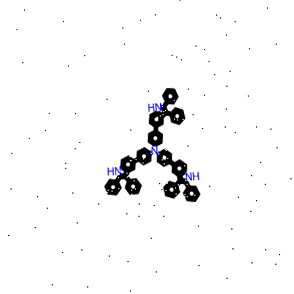 c1ccc(-c2[nH]c3ccc(-c4ccc(N(c5ccc(-c6ccc7[nH]c(-c8ccccc8)c(-c8ccccc8)c7c6)cc5)c5ccc(-c6ccc7[nH]c(-c8ccccc8)c(-c8ccccc8)c7c6)cc5)cc4)cc3c2-c2ccccc2)cc1